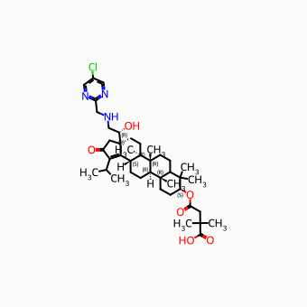 CC(C)C1=C2[C@H]3CC[C@@H]4[C@@]5(C)CC[C@H](OC(=O)CC(C)(C)C(=O)O)C(C)(C)C5CC[C@@]4(C)[C@]3(C)CC[C@@]2([C@@H](O)CNCc2ncc(Cl)cn2)CC1=O